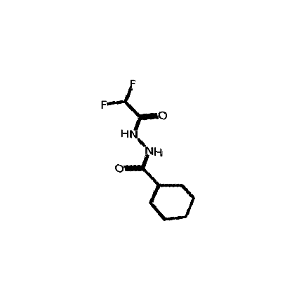 O=C(NNC(=O)C1CCCCC1)C(F)F